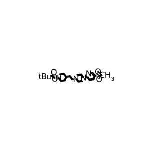 CC(C)(C)C(=O)ON1CCC(CCN2CCN(c3ccc(S(C)(=O)=O)cn3)CC2)CC1